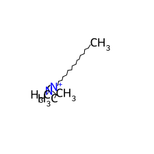 CCCCCCCCCCCCCCCCC[n+]1ccn(C)c1C(C)C